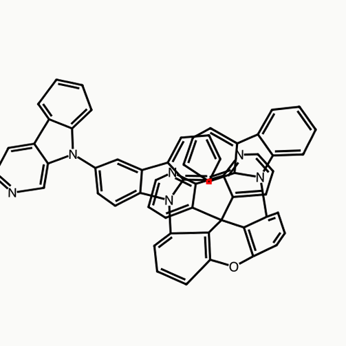 c1cc2c(c(-n3c4ccccc4c4ccccc43)c1)C1(c3cccnc3-c3ncccc31)c1c(cccc1-n1c3ccccc3c3cc(-n4c5ccccc5c5ccncc54)ccc31)O2